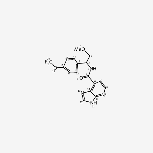 COCC(NC(=O)c1ccnc2[nH]cnc12)c1ccc(OC(F)(F)F)cc1